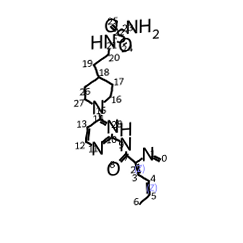 C=N/C(=C\C=C/C)C(=O)Nc1nccc(N2CCC(CCNS(N)(=O)=O)CC2)n1